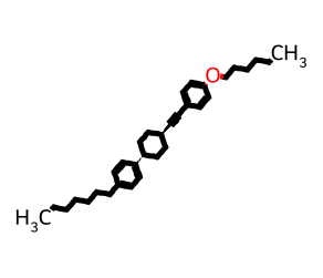 CCCCCCCc1ccc([C@H]2CC[C@H](C#Cc3ccc(OCCCCCC)cc3)CC2)cc1